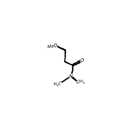 COCCC(=O)N(C)C